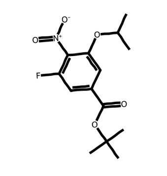 CC(C)Oc1cc(C(=O)OC(C)(C)C)cc(F)c1[N+](=O)[O-]